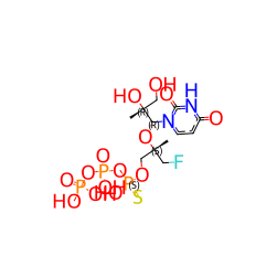 C[C@@](CF)(CO[P@](O)(=S)OP(=O)(O)OP(=O)(O)O)O[C@@H](n1ccc(=O)[nH]c1=O)[C@](C)(O)CO